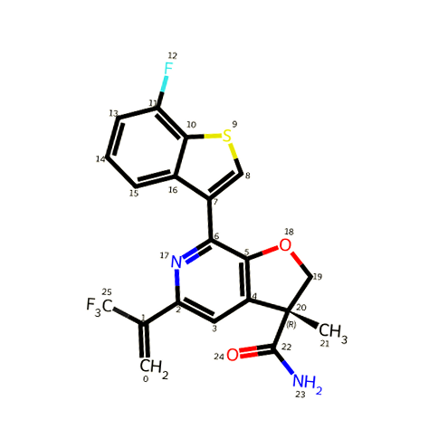 C=C(c1cc2c(c(-c3csc4c(F)cccc34)n1)OC[C@]2(C)C(N)=O)C(F)(F)F